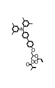 C=CC(=O)OC(COC(=O)C(=C)C)COc1ccc(-c2ccc(N(c3cc(C)cc(C)c3)c3cc(C)cc(C)c3)cc2)cc1